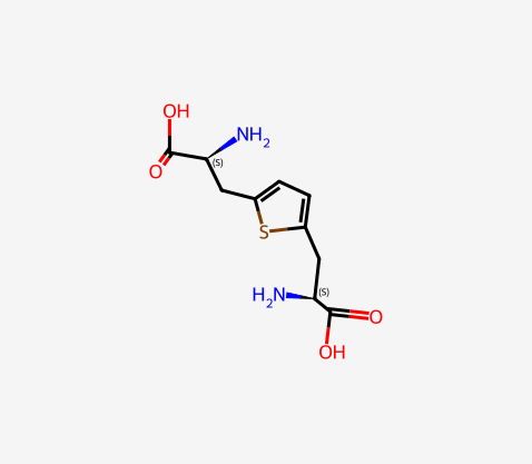 N[C@@H](Cc1ccc(C[C@H](N)C(=O)O)s1)C(=O)O